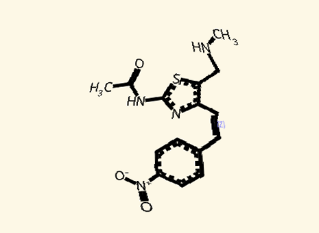 CNCc1sc(NC(C)=O)nc1/C=C\c1ccc([N+](=O)[O-])cc1